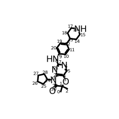 CC1(C)Oc2cnc(Nc3ccc(C4CCNCC4)cc3)nc2N(C2CCCC2)C1=O